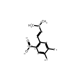 CN(C)C=Cc1cc(F)c(I)cc1[N+](=O)[O-]